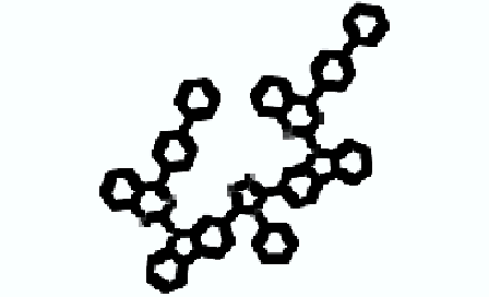 c1ccc(-c2ccc(-c3nc(-n4c5ccccc5c5ccc(-c6nnc(-c7ccc8c9ccccc9n(-c9nc(-c%10ccc(-c%11ccccc%11)cc%10)c%10ccccc%10n9)c8c7)n6-c6ccccc6)cc54)nc4ccccc34)cc2)cc1